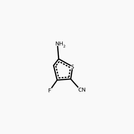 N#Cc1sc(N)cc1F